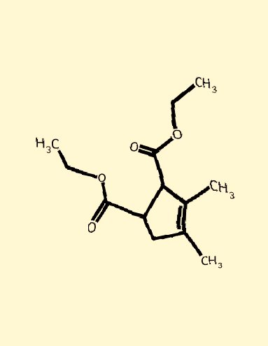 CCOC(=O)C1CC(C)=C(C)C1C(=O)OCC